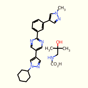 CC(C)(O)CNC(=O)O.Cn1cc(-c2cccc(-c3ncc(-c4cnn(C5CCCCC5)c4)cn3)c2)cn1